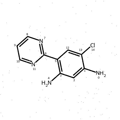 Nc1cc(N)c(-c2ncccn2)cc1Cl